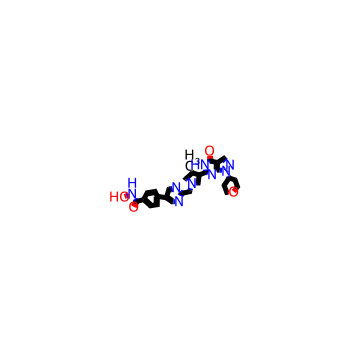 CC1CN(Cc2ncc(-c3ccc(C(=O)NO)cc3)cn2)CC1c1nc2c(cnn2C2CCOCC2)c(=O)[nH]1